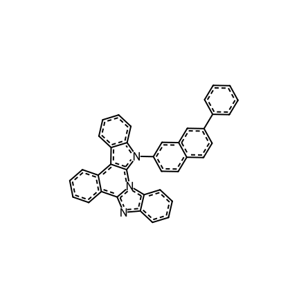 c1ccc(-c2ccc3ccc(-n4c5ccccc5c5c6ccccc6c6nc7ccccc7n6c54)cc3c2)cc1